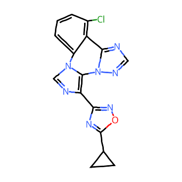 Clc1cccc2c1c1ncnn1c1c(-c3noc(C4CC4)n3)ncn21